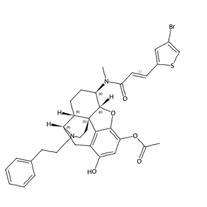 CC(=O)Oc1cc(O)c2c3c1O[C@H]1[C@H](N(C)C(=O)/C=C/c4cc(Br)cs4)CC[C@H]4[C@@H](C2)N(CCc2ccccc2)CC[C@@]341